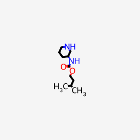 CC(C)CCOC(=O)NC1CCCNC1